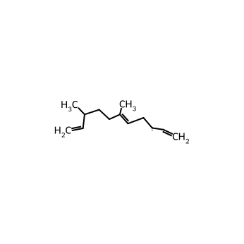 C=C[CH]C/C=C(\C)CCC(C)C=C